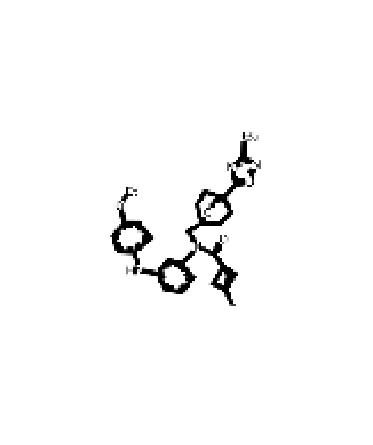 CCOc1ccc(Nc2cccc(N(CC34CCC(c5nc(C(C)(C)C)no5)(CC3)CC4)C(=O)C34CC(F)(C3)C4)c2)cc1